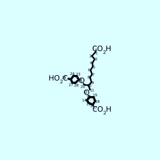 O=C(O)CCCCCCCCCC(COc1ccc(C(=O)O)cc1)COc1ccc(C(=O)O)cc1